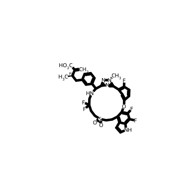 C=C(C(=O)O)[C@H](C)Cc1cccc(C2NCC(F)(F)CCS(=O)(=O)CCc3c(c(F)c(F)c4[nH]ccc34)Oc3ccc(F)c(c3)-c3nc2nn3C)c1